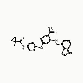 CC1(C(=O)Nc2ccc(Nc3cc(NCc4cccc5[nH]ccc45)c(C(N)=O)cn3)cc2)CC1